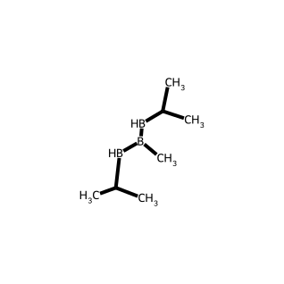 CB(BC(C)C)BC(C)C